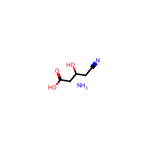 N.N#CCC(O)CC(=O)O